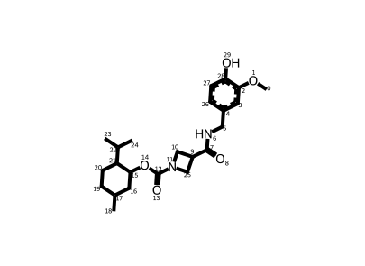 COc1cc(CNC(=O)C2CN(C(=O)OC3CC(C)CCC3C(C)C)C2)ccc1O